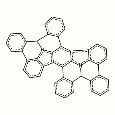 c1ccc2c(c1)-c1cccc3c4c5c6c(c7c4n(c13)C2c1ccccc1-7)c1cccc2c1n6C(c1ccccc1-2)c1ccccc1-5